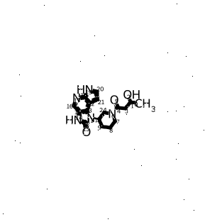 CC(O)CC(=O)N1CCC[C@@H](n2c(=O)[nH]c3cnc4[nH]ccc4c32)C1